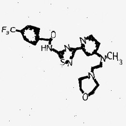 CN(CCN1CCOCC1)c1ccnc(-c2nsc(NC(=O)c3ccc(C(F)(F)F)cc3)n2)c1